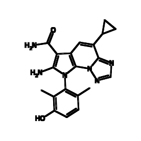 Cc1ccc(O)c(C)c1-n1c(N)c(C(N)=O)c2cc(C3CC3)c3ncnn3c21